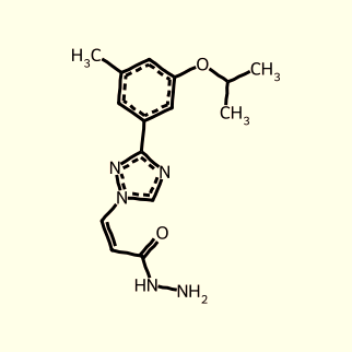 Cc1cc(OC(C)C)cc(-c2ncn(/C=C\C(=O)NN)n2)c1